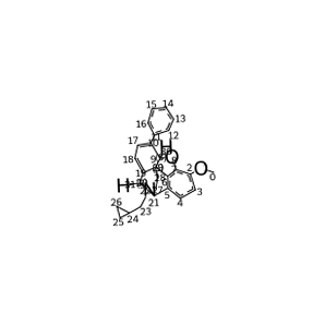 COc1ccc2c3c1O[C@H]1C(c4ccccc4)=CC=C4[C@@H](C2)N(CC2CC2)CC[C@]431